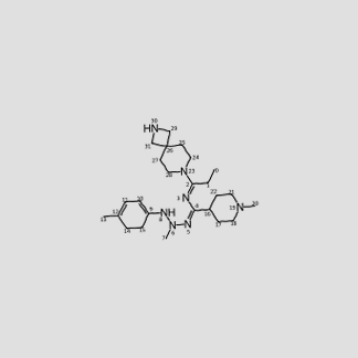 CC/C(=N\C(=N/N(C)NC1=CC=C(C)CC1)C1CCN(C)CC1)N1CCC2(CC1)CNC2